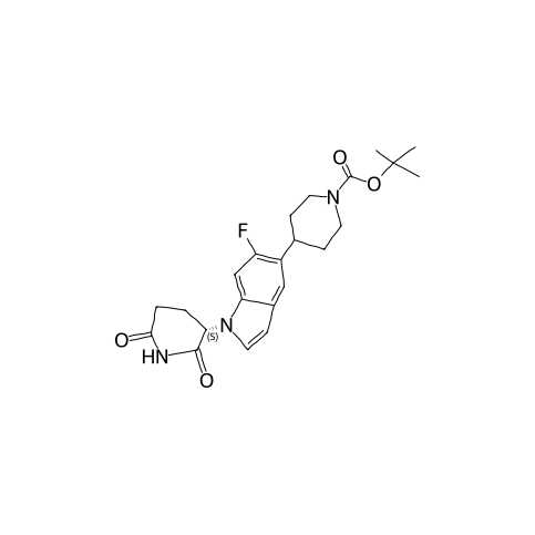 CC(C)(C)OC(=O)N1CCC(c2cc3ccn([C@H]4CCC(=O)NC4=O)c3cc2F)CC1